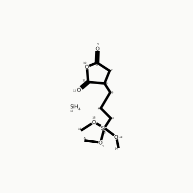 CO[Si](CCCC1CC(=O)OC1=O)(OC)OC.[SiH4]